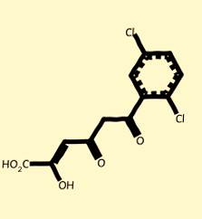 O=C(C=C(O)C(=O)O)CC(=O)c1cc(Cl)ccc1Cl